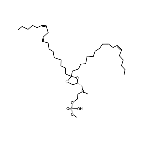 CCCCC/C=C\C/C=C\CCCCCCCCC1(CCCCCCCC/C=C\C/C=C\CCCCC)OC[C@@H](CN(C)CCOP(=O)(O)OC)O1